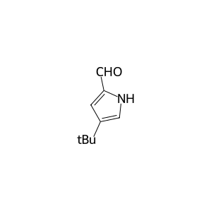 CC(C)(C)c1c[nH]c(C=O)c1